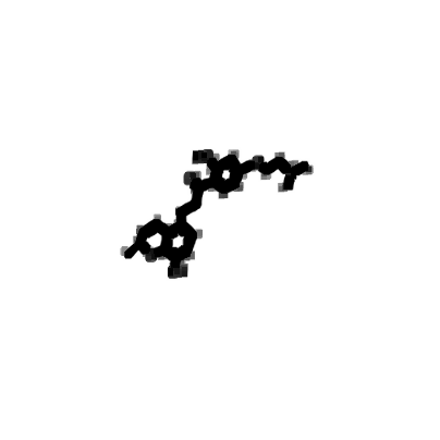 C[C@H]1C=Cc2c(CCC(=O)c3ccc(OCCN(C)C)cc3O)ccc(O)c2O1